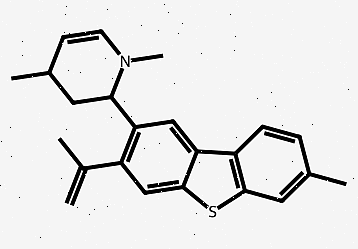 C=C(C)c1cc2sc3cc(C)ccc3c2cc1C1CC(C)C=CN1C